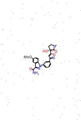 COc1ccc2c(c1)c(C(N)=O)nn2-c1cccc(-c2cc([C@]3(O)CCN(C)C3=O)on2)c1